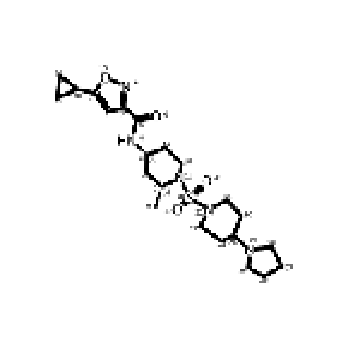 C[C@H]1C[C@@H](NC(=O)c2cc(C3CC3)on2)CCN1S(=O)(=O)N1CCC(N2CCCC2)CC1